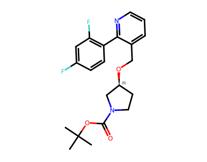 CC(C)(C)OC(=O)N1CC[C@H](OCc2cccnc2-c2ccc(F)cc2F)C1